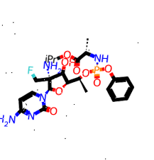 CC(C)OC(=O)[C@H](C)N[P@@](=O)(Oc1ccccc1)O[C@@H](C)[C@H]1O[C@@H](n2ccc(N)nc2=O)[C@@](N)(CF)C1O